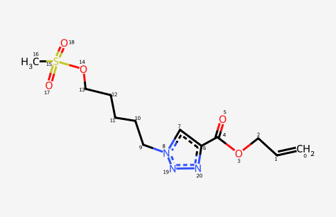 C=CCOC(=O)c1cn(CCCCCOS(C)(=O)=O)nn1